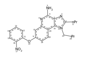 CCCc1nc2c(N)nc3cc(Oc4ccccc4[N+](=O)[O-])ccc3c2n1CC(C)C